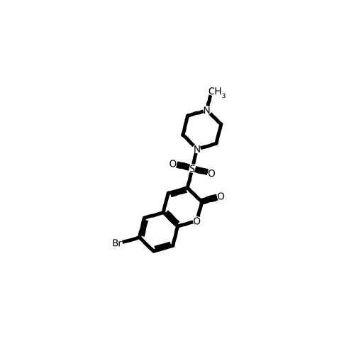 CN1CCN(S(=O)(=O)c2cc3cc(Br)ccc3oc2=O)CC1